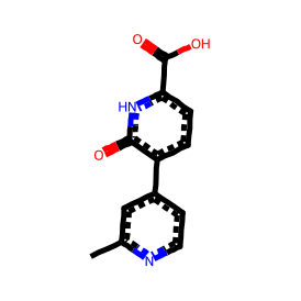 Cc1cc(-c2ccc(C(=O)O)[nH]c2=O)ccn1